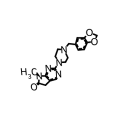 CN1C(=O)Cc2cnc(N3CCN(Cc4ccc5c(c4)OCO5)CC3)nc21